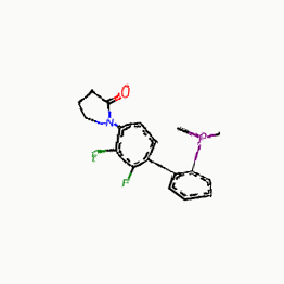 CP(C)c1ccccc1-c1ccc(N2CCCC2=O)c(F)c1F